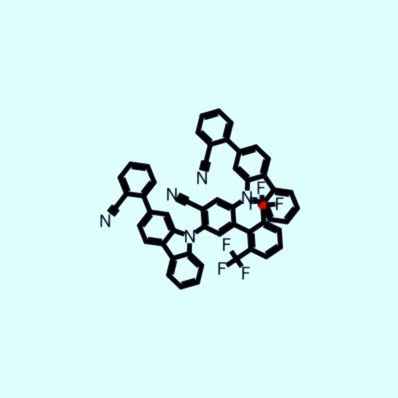 N#Cc1ccccc1-c1ccc2c3ccccc3n(-c3cc(-c4c(C(F)(F)F)cccc4C(F)(F)F)c(-n4c5ccccc5c5ccc(-c6ccccc6C#N)cc54)cc3C#N)c2c1